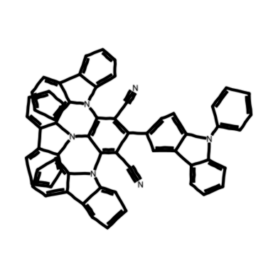 N#Cc1c(-c2ccc3c(c2)c2ccccc2n3-c2ccccc2)c(C#N)c(-n2c3ccccc3c3ccccc32)c(-n2c3ccccc3c3ccccc32)c1-n1c2ccccc2c2ccccc21